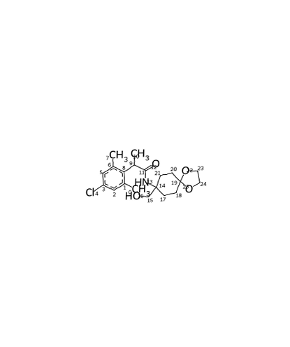 Cc1cc(Cl)cc(C)c1C(C)C(=O)NC1(CO)CCC2(CC1)OCCO2